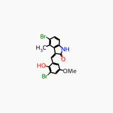 COc1cc(Br)c(O)c(C=C2C(=O)Nc3ccc(Br)c(C)c32)c1